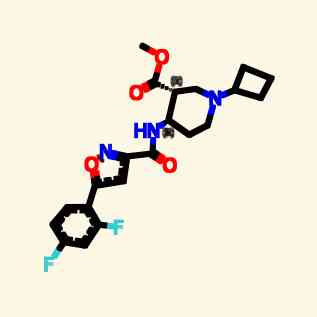 COC(=O)[C@@H]1CN(C2CCC2)CC[C@H]1NC(=O)c1cc(-c2ccc(F)cc2F)on1